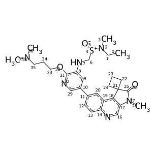 CCN(C)[S+]([O-])CNc1cc(-c2ccc3ncc4c(c3c2)C2(CCC2)C(=O)N4C)cnc1OCCCN(C)C